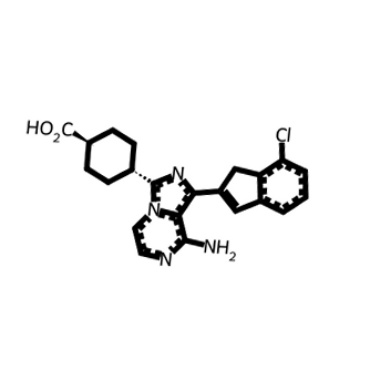 Nc1nccn2c1c(C1=Cc3cccc(Cl)c3C1)nc2[C@H]1CC[C@H](C(=O)O)CC1